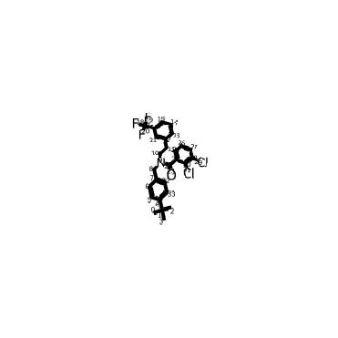 CC(C)(C)c1ccc(CN(CCc2cccc(C(F)(F)F)c2)C(=O)c2cccc(Cl)c2Cl)cc1